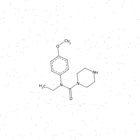 CCN(C(=O)N1CCNCC1)c1ccc(OC)cc1